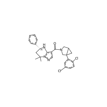 CC1(C)C[C@H](c2ccccc2)Nc2c(C(=O)N3CC4CC4(c4cc(Cl)ccc4Cl)C3)cnn21